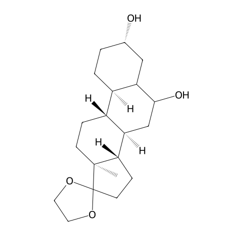 C[C@]12CC[C@H]3[C@@H](CC(O)C4C[C@@H](O)CC[C@@H]43)[C@@H]1CCC21OCCO1